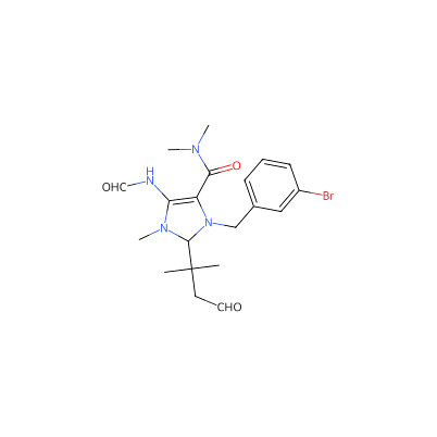 CN(C)C(=O)C1=C(NC=O)N(C)C(C(C)(C)CC=O)N1Cc1cccc(Br)c1